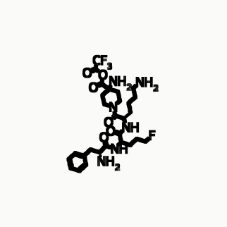 NCCCC[C@@H](NC(=O)C(CCCF)NC(=O)[C@H](N)Cc1ccccc1)C(=O)N1CCC(N)(C(=O)OC(=O)C(F)(F)F)CC1